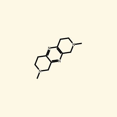 CN1CCc2nc3c(nc2C1)CN(C)CC3